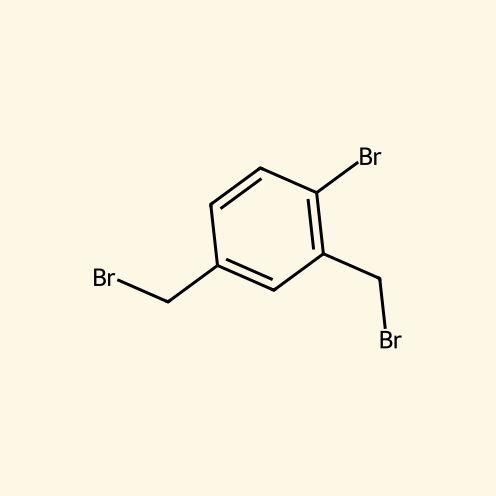 BrCc1ccc(Br)c(CBr)c1